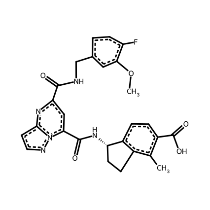 COc1cc(CNC(=O)c2cc(C(=O)N[C@H]3CCc4c3ccc(C(=O)O)c4C)n3nccc3n2)ccc1F